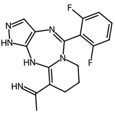 CC(=N)C1=C2Nc3[nH]ncc3N=C(c3c(F)cccc3F)N2CCC1